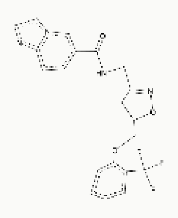 O=C(NCC1=NOC(COc2ccccc2C(F)(F)F)C1)c1ccc2nccn2c1